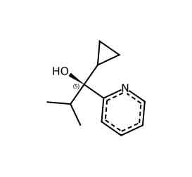 CC(C)[C@@](O)(c1ccccn1)C1CC1